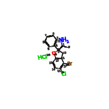 CC(N)[C@@]1(c2ccccc2)Cc2c(ccc(Cl)c2Br)O1.Cl